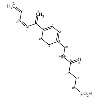 C=C/N=N\C(=C)C1=CC=C(CNC(=O)CCCC(=O)O)CC1